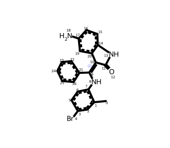 Cc1cc(Br)ccc1N/C(=C1\C(=O)Nc2ccc(N)cc21)c1ccccc1